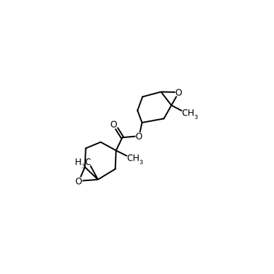 CC1(C(=O)OC2CCC3OC3(C)C2)CCC2OC2(C)C1